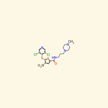 CN1CCN(CCCNC(=O)c2cc([N+](=O)[O-])c(Sc3c(Cl)cncc3Cl)s2)CC1